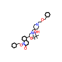 CC(C)(C)[Si](C)(C)OC(CNCC1(O)CCN(CCOCc2ccccc2)CC1)c1cccc2c1ccc(=O)n2OCc1ccccc1